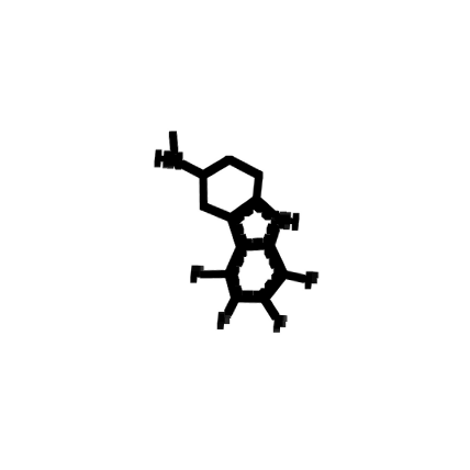 CNC1CCc2[nH]c3c(F)c(F)c(F)c(F)c3c2C1